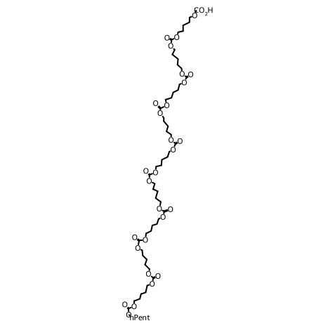 CCCCCOC(=O)OCCCCCOC(=O)OCCCCCOC(=O)OCCCCCOC(=O)OCCCCCOC(=O)OCCCCCOC(=O)OCCCCCOC(=O)OCCCCCOC(=O)OCCCCCOC(=O)OCCCCCOC(=O)O